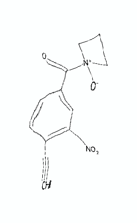 C#Cc1ccc(C(=O)[N+]2([O-])CCC2)cc1[N+](=O)[O-]